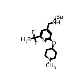 BC(F)(F)c1cc(CNC(C)CC)cc(OC2CCN(C)CC2)n1